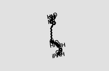 CC(C)NC(=O)O[C@@H]1CC[C@H](c2cc(NC(=O)c3cnn(CCCCCCCCCC#Cc4cccc5c(N6CCC(=O)NC6=O)cncc45)c3)n[nH]2)C1